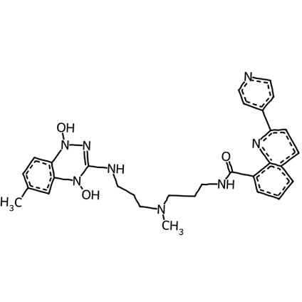 Cc1ccc2c(c1)N(O)C(NCCCN(C)CCCNC(=O)c1cccc3ccc(-c4ccncc4)nc13)=NN2O